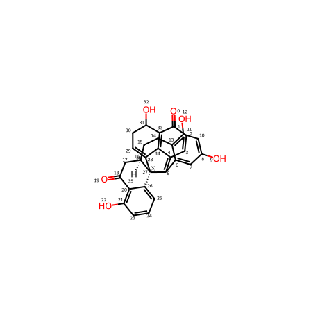 O=C1C=CC2=C3c4cc(O)cc(O)c4CC[C@@H]4CC(=O)c5c(O)cccc5[C@]34C3=CCC(O)C1=C32